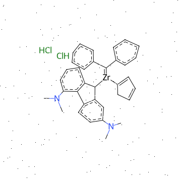 CN(C)c1ccc2c(c1)[CH]([Zr]([C]1=CC=CC1)=[C](c1ccccc1)c1ccccc1)c1cccc(N(C)C)c1-2.Cl.Cl